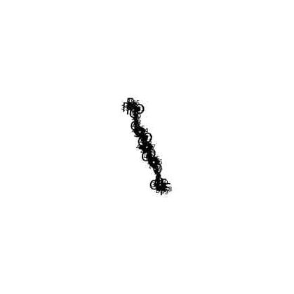 C=C(C(=O)OCCCOc1ccc(C(=O)Oc2ccc(OC(=O)c3ccc(OCCCOC(=O)C(=C)C(F)(F)F)cc3)c(C)c2)cc1)C(F)(F)F